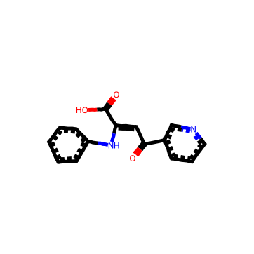 O=C(O)C(=CC(=O)c1cccnc1)Nc1ccccc1